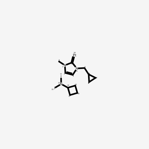 Cn1ccn(CC2CC2)[c]1=[Pt].IN(I)C1CCC1